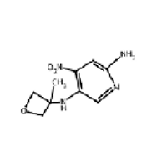 CC1(Nc2cnc(N)cc2[N+](=O)[O-])COC1